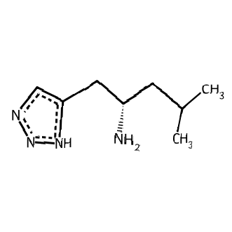 CC(C)C[C@H](N)Cc1cnn[nH]1